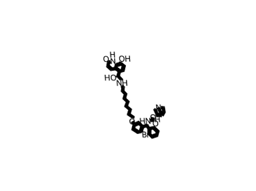 O=C(NC(c1ccccc1)c1cc(OCCCCCCCCCNC[C@@H](O)c2ccc(O)c3[nH]c(=O)ccc23)ccc1Br)O[C@H]1CN2CCC1CC2